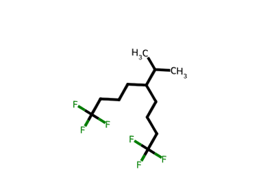 CC(C)C(CCCC(F)(F)F)CCCC(F)(F)F